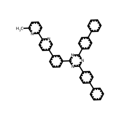 Cc1cccc(-c2ccc(-c3cccc(-c4nc(-c5ccc(-c6ccccc6)cc5)nc(-c5ccc(-c6ccccc6)cc5)n4)c3)cn2)n1